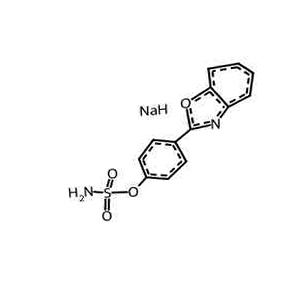 NS(=O)(=O)Oc1ccc(-c2nc3ccccc3o2)cc1.[NaH]